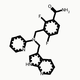 NC(=O)c1ccc(F)c(CN(Cc2c[nH]c3ncccc23)c2ccccn2)c1F